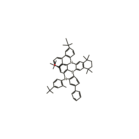 Cc1cc(C(C)(C)C)ccc1N1c2cc(-c3ccccc3)ccc2B2c3cc4c(cc3N(c3ccc(C(C)(C)C)cc3-c3ccccc3)c3cc(C(C)(C)C)cc1c32)C(C)(C)CCC4(C)C